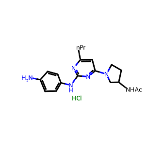 CCCc1cc(N2CCC(NC(C)=O)C2)nc(Nc2ccc(N)cc2)n1.Cl